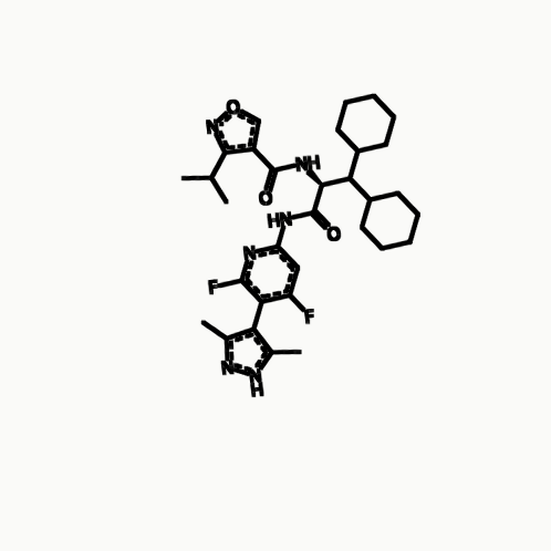 Cc1n[nH]c(C)c1-c1c(F)cc(NC(=O)[C@@H](NC(=O)c2conc2C(C)C)C(C2CCCCC2)C2CCCCC2)nc1F